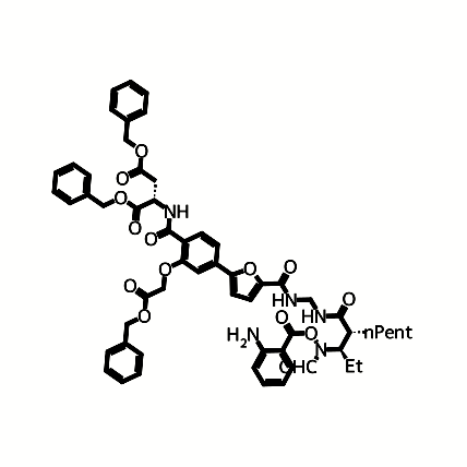 CCCCC[C@@H](C(=O)NCNC(=O)c1ccc(-c2ccc(C(=O)N[C@@H](CC(=O)OCc3ccccc3)C(=O)OCc3ccccc3)c(OCC(=O)OCc3ccccc3)c2)o1)[C@@H](CC)N(C=O)OC(=O)c1ccccc1N